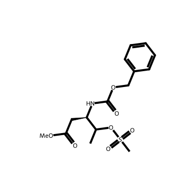 COC(=O)C[C@@H](NC(=O)OCc1ccccc1)C(C)OS(C)(=O)=O